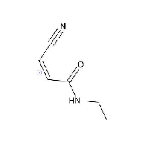 CCNC(=O)/C=C\C#N